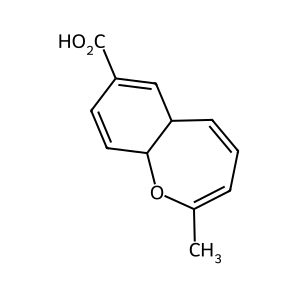 CC1=CC=CC2C=C(C(=O)O)C=CC2O1